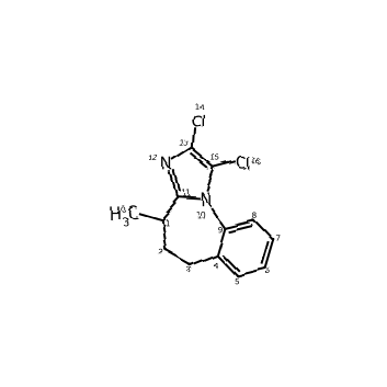 CC1CCc2ccccc2-n2c1nc(Cl)c2Cl